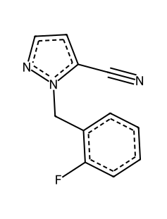 N#Cc1ccnn1Cc1ccccc1F